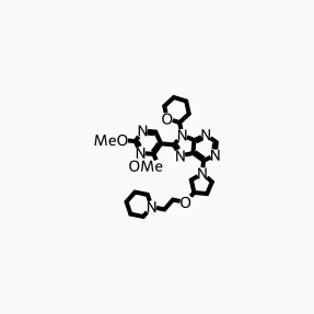 COc1ncc(-c2nc3c(N4CCC(OCCN5CCCCC5)C4)ncnc3n2C2CCCCO2)c(OC)n1